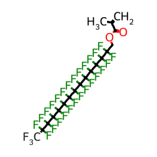 C=C(C)C(=O)OCC(F)(F)C(F)(F)C(F)(F)C(F)(F)C(F)(F)C(F)(F)C(F)(F)C(F)(F)C(F)(F)C(F)(F)C(F)(F)C(F)(F)C(F)(F)C(F)(F)F